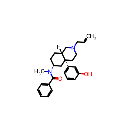 C=CCN1CC[C@@]2(c3cccc(O)c3)C[C@H](N(C)C(=O)c3ccccc3)CC[C@@H]2C1